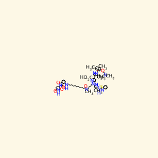 Cc1cc(N(CCCCN(C)C(=O)CCCCCCCCCCNc2cccc3c2C(=O)N(C2CCC(=O)NC2=O)C3=O)c2ccc(-c3cnn(CC45CC6(C)CC(C)(C4)CC(OCCN(C)C)(C6)C5)c3C)c(C(=O)O)n2)nnc1Nc1nc2ccccc2s1